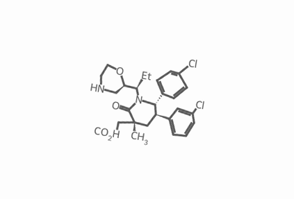 CC[C@H]([C@H]1CNCCO1)N1C(=O)[C@@](C)(CC(=O)O)C[C@H](c2cccc(Cl)c2)[C@H]1c1ccc(Cl)cc1